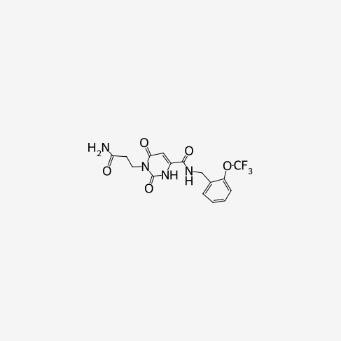 NC(=O)CCn1c(=O)cc(C(=O)NCc2ccccc2OC(F)(F)F)[nH]c1=O